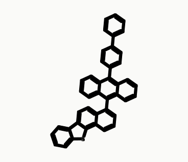 c1ccc(-c2ccc(-c3c4ccccc4c(-c4cccc5c4ccc4c6ccccc6sc54)c4ccccc34)cc2)cc1